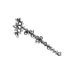 CC(C)S1(C(C)C)c2cc(N(C)C)ccc2C(=CCCC(=O)NCCOCCOCC(=O)NCCOCCOCCCCCCCl)c2ccc(N(C)C)cc21